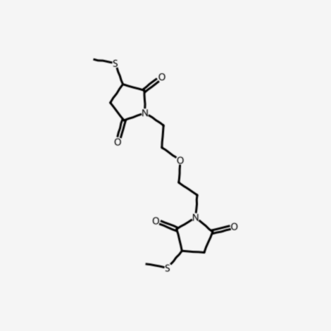 CSC1CC(=O)N(CCOCCN2C(=O)CC(SC)C2=O)C1=O